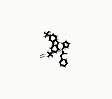 C/[C](Cc1ccccc1)=[Zr+2](\[C]1=CC=CC1)[c]1cc(C(C)(C)C)cc2c1Cc1ccc(C(C)(C)C)cc1-2.[Cl-].[Cl-]